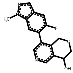 Cn1ncc2cc(F)c(-c3cncc4c3COCC4O)cc21